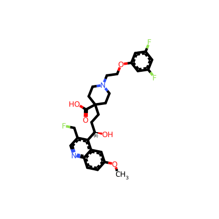 COc1ccc2ncc(CF)c([C@H](O)CCC3(C(=O)O)CCN(CCOc4cc(F)cc(F)c4)CC3)c2c1